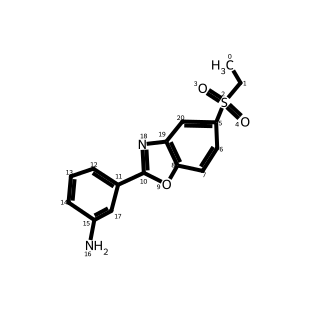 CCS(=O)(=O)c1ccc2oc(-c3cccc(N)c3)nc2c1